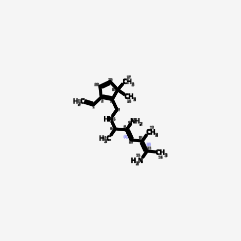 C=CC1=C(CNC(C)/C(N)=C/C(C)=C(/C)N)C(C)(C)C=C1